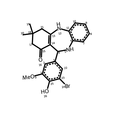 COc1cc(C2Nc3ccccc3NC3=C2C(=O)CC(C)(C)C3)cc(Br)c1O